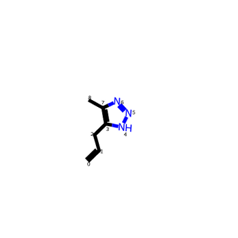 C=CCc1[nH]nnc1C